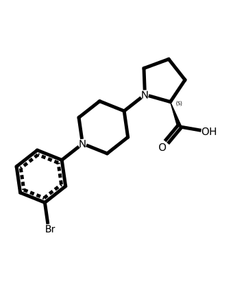 O=C(O)[C@@H]1CCCN1C1CCN(c2cccc(Br)c2)CC1